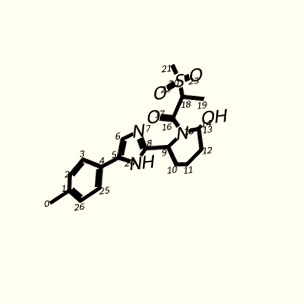 Cc1ccc(-c2cnc(C3CCCC(O)N3C(=O)C(C)S(C)(=O)=O)[nH]2)cc1